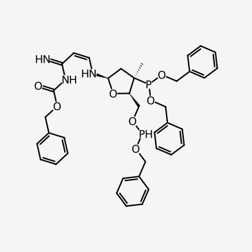 C[C@@]1(P(OCc2ccccc2)OCc2ccccc2)C[C@H](N/C=C\C(=N)NC(=O)OCc2ccccc2)O[C@@H]1COPOCc1ccccc1